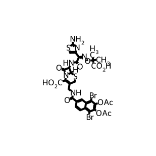 CC(=O)Oc1c(OC(C)=O)c(Br)c2cc(C(=O)NCC3=C(C(=O)O)N4C(=O)C(NC(=O)/C(=N\OC(C)(C)C(=O)O)c5csc(N)n5)[C@@H]4SC3)ccc2c1Br